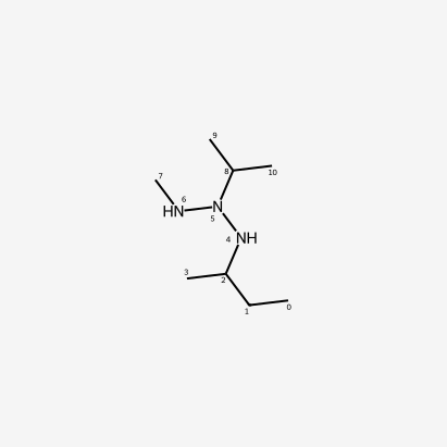 CCC(C)NN(NC)C(C)C